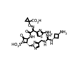 N=C(NCc1cnn(C[C@H]2C(NC(=O)/C(=N\OC3(C(=O)O)CC3)c3csc(N)n3)C(=O)N2S(=O)(=O)O)n1)N[C@H]1C[C@H](N)C1